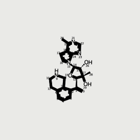 C=C(c1cccc2c1CNCC2)[C@H]1O[C@@H](n2ccc3c(C)ncnc32)[C@H](O)[C@]1(C)O